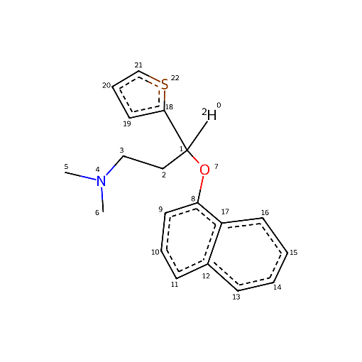 [2H]C(CCN(C)C)(Oc1cccc2ccccc12)c1cccs1